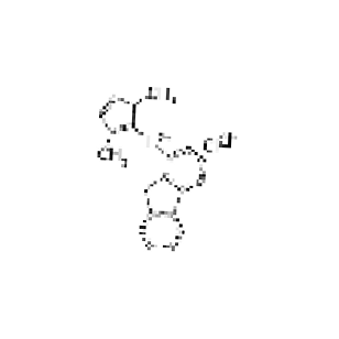 CC1=[C]([Ti+2][c]2cccc3c2Cc2ccccc2-3)C(C)C=C1.[Cl-].[Cl-]